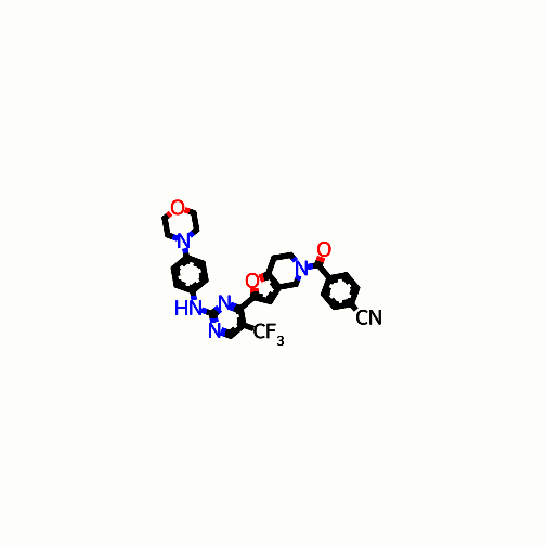 N#Cc1ccc(C(=O)N2CCc3oc(-c4nc(Nc5ccc(N6CCOCC6)cc5)ncc4C(F)(F)F)cc3C2)cc1